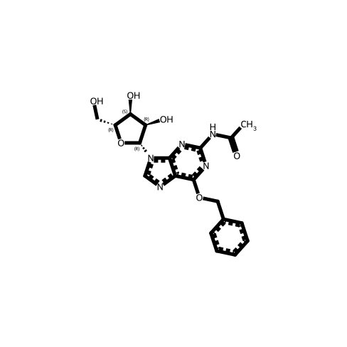 CC(=O)Nc1nc(OCc2ccccc2)c2ncn([C@@H]3O[C@H](CO)[C@@H](O)[C@H]3O)c2n1